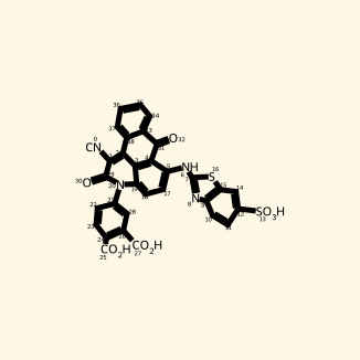 [C-]#[N+]c1c2c3c(c(Nc4nc5ccc(S(=O)(=O)O)cc5s4)ccc3n(-c3ccc(C(=O)O)c(C(=O)O)c3)c1=O)C(=O)c1ccccc1-2